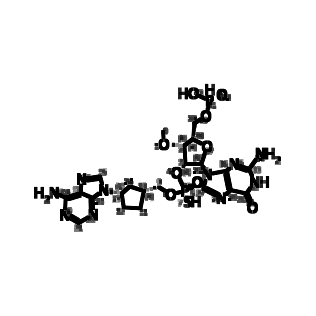 CO[C@H]1[C@@H](O[P@@](=O)(S)OC[C@@H]2CC[C@H](n3cnc4c(N)ncnc43)C2)[C@H](n2cnc3c(=O)[nH]c(N)nc32)O[C@@H]1CO[PH](=O)O